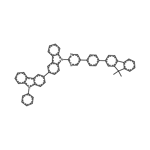 CC1(C)c2ccccc2-c2ccc(-c3ccc(-c4cnc(-n5c6ccccc6c6cc(-c7ccc8c(c7)c7ccccc7n8-c7ccccc7)ccc65)nc4)cc3)cc21